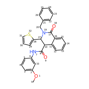 COc1cccc(NC(=O)C2c3ccccc3C(=O)N(Cc3ccccc3)C2c2cccs2)c1